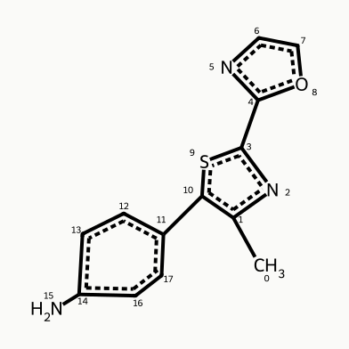 Cc1nc(-c2ncco2)sc1-c1ccc(N)cc1